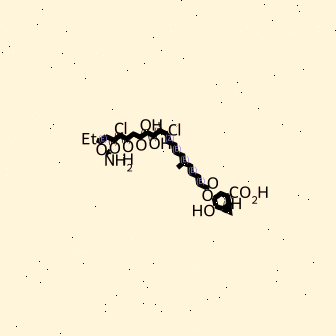 CC/C=C/[C@@H](OC(N)=O)[C@@H](Cl)[C@H](O)CC(=O)[C@@H](O)[C@H](O)[C@H](C)/C(Cl)=C/C=C/C=C(C)/C=C/C=C/C(=O)OC1C[C@H](C(=O)O)[C@@H]2CC2C1O